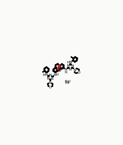 Cc1ccccc1Nc1nc(Nc2ccc(/C=C\c3ccc(Nc4nc(Nc5ccccc5C)nc(N5CCOCC5)n4)cc3S(=O)(=O)[O-])c(S(=O)(=O)[O-])c2)nc(N2CCOCC2)n1.[Na+].[Na+]